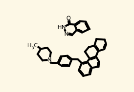 CC1CCN(Cc2ccc(Cc3cccc4ccc5c(c34)CCC3=C5C=CCC3)cc2)CC1.O=c1[nH]ncc2ccccc12